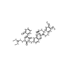 CCN(CC)CCOC(=O)[C@H](Cc1ccc(OC(=O)N2CCc3cc(OC)c(OC)cc3C2CC#N)c(Cl)c1)NC(=O)c1ccccc1Cl